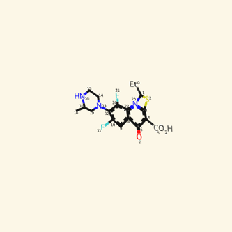 CCC1Sc2c(C(=O)O)c(=O)c3cc(F)c(N4CCNC(C)C4)c(F)c3n21